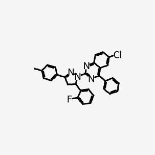 Cc1ccc(C2=NN(c3nc(-c4ccccc4)c4cc(Cl)ccc4n3)C(c3ccccc3F)C2)cc1